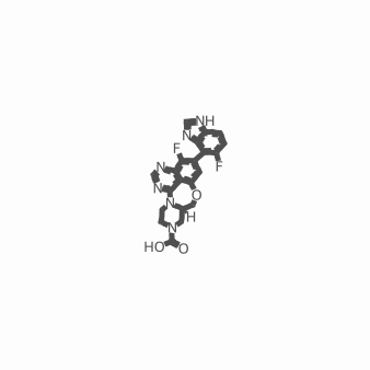 O=C(O)N1CCN2c3ncnc4c(F)c(-c5c(F)ccc6[nH]cnc56)cc(c34)OC[C@@H]2C1